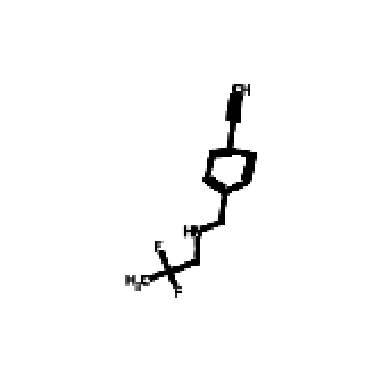 C#Cc1ccc(CNCC(C)(F)F)cc1